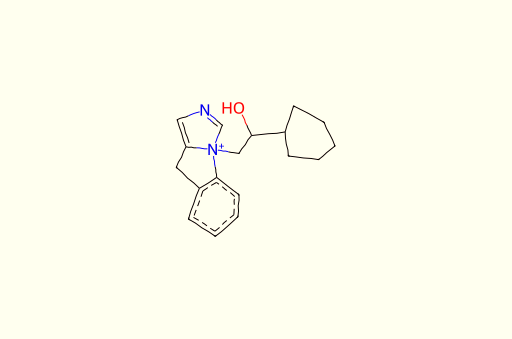 OC(C[N+]12C=NC=C1Cc1ccccc12)C1CCCCC1